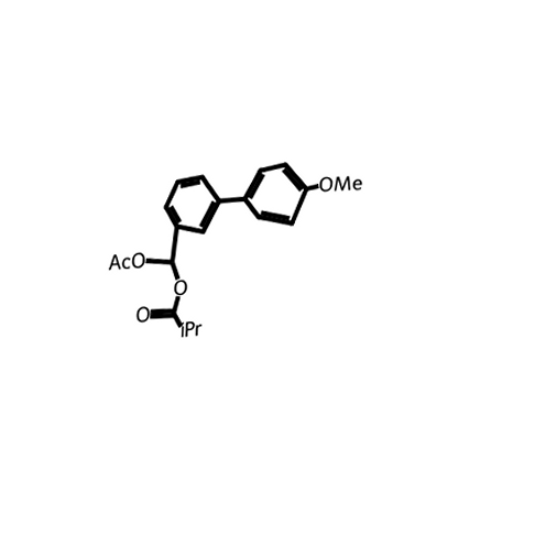 COc1ccc(-c2cccc(C(OC(C)=O)OC(=O)C(C)C)c2)cc1